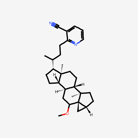 COC1C[C@H]2[C@@H]3CC[C@H](C(C)CCc4ncccc4C#N)[C@@]3(C)CC[C@@H]2[C@@]2(C)CC[C@@H]3C[C@]132